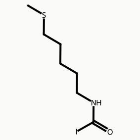 CSCCCCCNC(=O)I